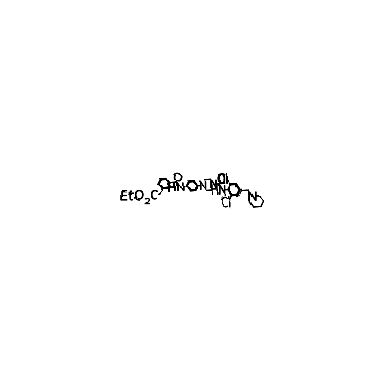 CCOC(=O)Cc1cccc(C(=O)Nc2ccc(N3CCN(C(=O)Nc4c(Cl)cc(CN5CCCCC5)cc4Cl)CC3)cc2)c1